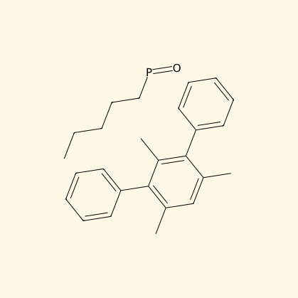 CCCCCP=O.Cc1cc(C)c(-c2ccccc2)c(C)c1-c1ccccc1